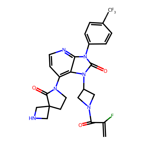 C=C(F)C(=O)N1CC(n2c(=O)n(-c3ccc(C(F)(F)F)cc3)c3nccc(N4CCC5(CNC5)C4=O)c32)C1